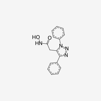 O=C(Cc1c(-c2ccccc2)nnn1-c1ccccc1)NO